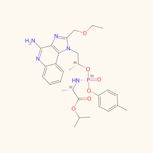 CCOCc1nc2c(N)nc3ccccc3c2n1C[C@@H](C)O[P@](=O)(N[C@@H](C)C(=O)OC(C)C)Oc1ccc(C)cc1